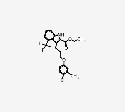 CCOC(=O)c1[nH]c2cccc(C(F)(F)F)c2c1CCCOc1ccc(Cl)c(C)c1